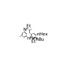 CCCCCCc1cc(C)cc(N=C(CC)C(C)=Cc2cc(CC)c(CCCC)c(CCCCCC)c2)c1